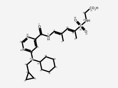 CC(=C\NC(=O)c1cc(N(CC2CC2)C2CCCCC2)ncn1)/C=C(\C)S(=O)(=O)NCC(=O)O